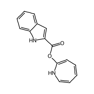 O=C(OC1=CC=CC=CN1)c1cc2ccccc2[nH]1